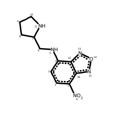 O=[N+]([O-])c1ccc(NCC2CCCN2)c2nonc12